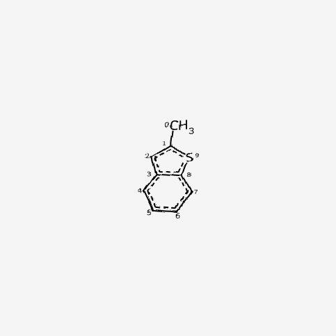 Cc1[c]c2ccccc2s1